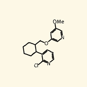 COc1cncc(OCC2CCCCC2c2cccnc2Cl)c1